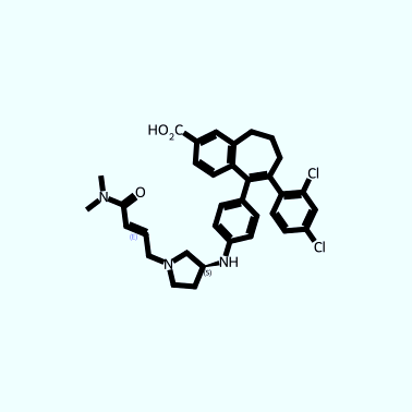 CN(C)C(=O)/C=C/CN1CC[C@H](Nc2ccc(C3=C(c4ccc(Cl)cc4Cl)CCCc4cc(C(=O)O)ccc43)cc2)C1